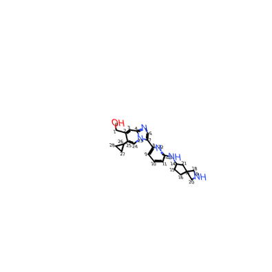 OCc1cc2ncc(-c3cccc(NC4CCC5(CNC5)C4)n3)n2cc1C1CC1